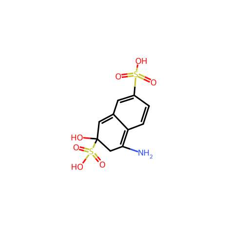 NC1=c2ccc(S(=O)(=O)O)cc2=CC(O)(S(=O)(=O)O)C1